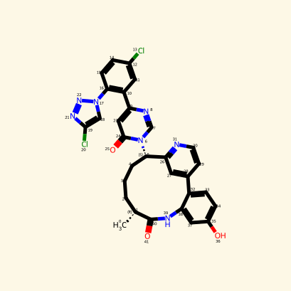 C[C@@H]1CCC[C@H](n2cnc(-c3cc(Cl)ccc3-n3cc(Cl)nn3)cc2=O)c2cc(ccn2)-c2ccc(O)cc2NC1=O